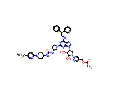 O=C(NC1CCN(c2ccc(C(=O)O)cn2)CC1)N[C@@H]1CCN(c2nc(NCC(c3ccccc3)c3ccccc3)c3ncn([C@@H]4C[C@H](n5cc(COC(=O)C(F)(F)F)cn5)[C@@H](O)[C@H]4O)c3n2)C1